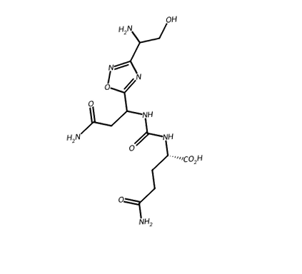 NC(=O)CC[C@H](NC(=O)NC(CC(N)=O)c1nc(C(N)CO)no1)C(=O)O